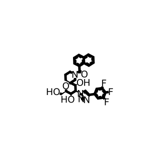 O=C(c1cccc2ccccc12)N1CCC[C@]2(C1)O[C@H](CO)[C@H](O)[C@H](n1cc(-c3cc(F)c(F)c(F)c3)nn1)[C@H]2O